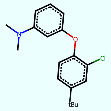 CN(C)c1cccc(Oc2ccc(C(C)(C)C)cc2Cl)c1